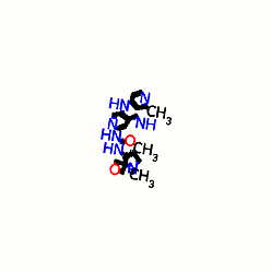 Cc1cc(Nc2cnc(NC(=O)N[C@H]3[C@H](C)CN(C)C34COC4)cc2C=N)ccn1